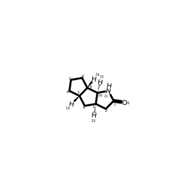 O=C1C[C@H]2C[C@@H]3CCC[C@@H]3[C@H]2N1